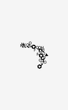 O=C(OCc1ccccc1)c1cn(C2CC2)c2c3c(c(F)cc2c1=O)N1C[C@](O)(COc2ccc(N4C[C@H](Cn5cnnn5)OC4=O)cc2F)C[C@H]1CO3